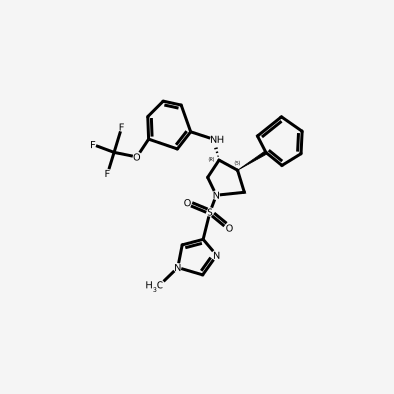 Cn1cnc(S(=O)(=O)N2C[C@H](Nc3cccc(OC(F)(F)F)c3)[C@@H](c3ccccc3)C2)c1